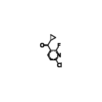 O=C(c1ccc(Cl)nc1F)C1CC1